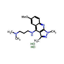 COc1ccc2nc3c(c(C)nn3C)c(NCCCN(C)C)c2c1.Cl.Cl